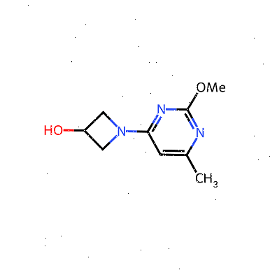 COc1nc(C)cc(N2CC(O)C2)n1